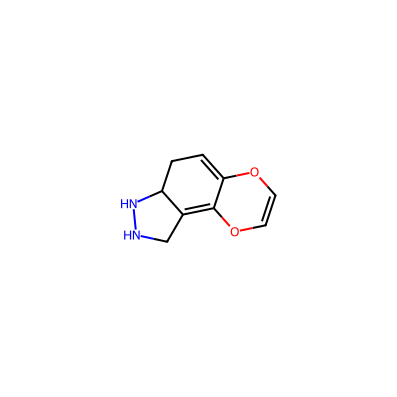 C1=COC2=C3CNNC3CC=C2O1